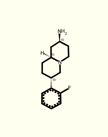 N[C@H]1CCN2C[C@H](c3ccccc3F)CC[C@H]2C1